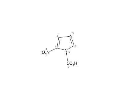 O=C(O)n1cncc1[N+](=O)[O-]